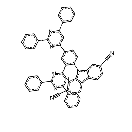 N#Cc1ccc2c3ccc(C#N)cc3n(-c3ccc(-c4cc(-c5ccccc5)nc(-c5ccccc5)n4)cc3-c3nc(-c4ccccc4)nc(-c4ccccc4)n3)c2c1